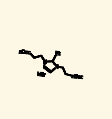 Br.CCCCCCCCCCCCN1C=CN(CCCCCCCCCCCC)C1CC